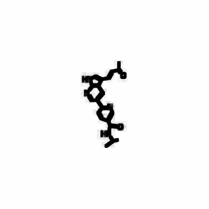 CC(=O)/C=C/c1c[nH]c2ncc(-c3ccc(C(=O)NC(C)C)cn3)cc12